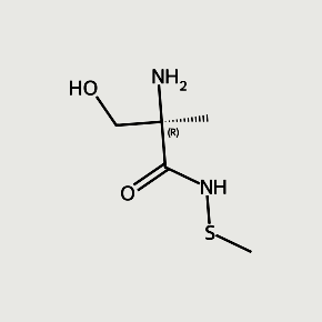 CSNC(=O)[C@](C)(N)CO